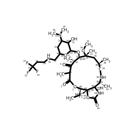 CC[C@H]1OC(=O)C(C)C(=O)[C@H](C)[C@@H](OC2OC(CNCCC(F)(F)F)CC(N(C)C)C2O)[C@](C)(OC)C[C@@H](C)CN[C@H](C)[C@H]2NC(=O)O[C@@]21C